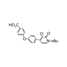 CCCCn1ccc(-c2ccc(Oc3ccc(C(=O)O)cc3)cc2)c(Cl)c1=O